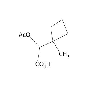 CC(=O)OC(C(=O)O)C1(C)CCC1